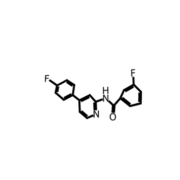 O=C(Nc1cc(-c2ccc(F)cc2)ccn1)c1cccc(F)c1